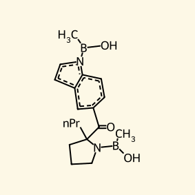 CCCC1(C(=O)c2ccc3c(ccn3B(C)O)c2)CCCN1B(C)O